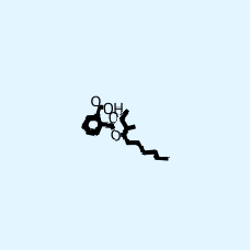 CCCCCCC(OC(=O)c1ccccc1C(=O)O)C(C)CC